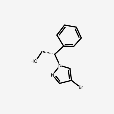 OC[C@H](c1ccccc1)n1cc(Br)cn1